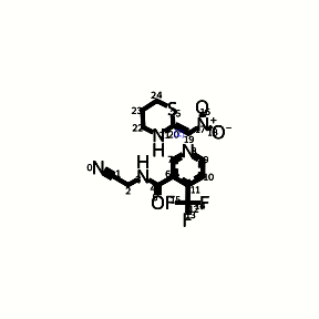 N#CCNC(=O)c1cnccc1C(F)(F)F.O=[N+]([O-])/C=C1/NCCCS1